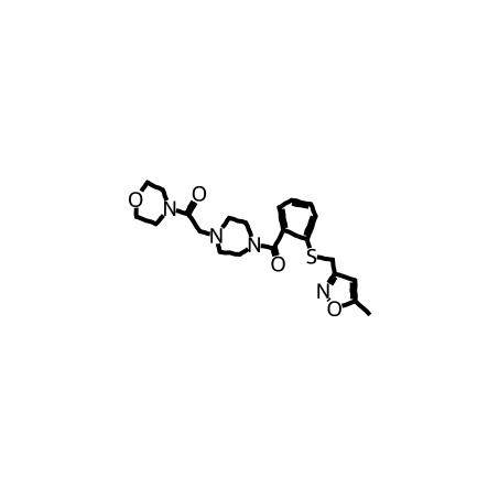 Cc1cc(CSc2ccccc2C(=O)N2CCN(CC(=O)N3CCOCC3)CC2)no1